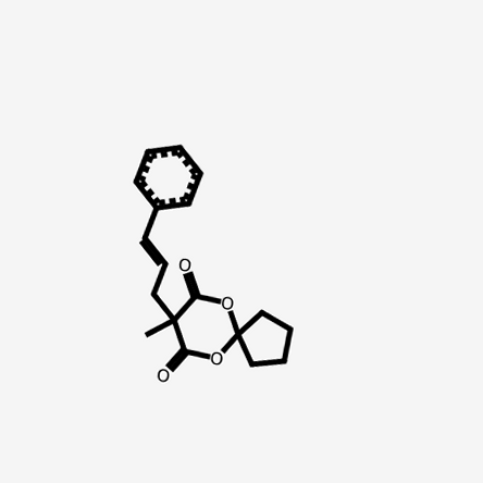 CC1(CC=Cc2ccccc2)C(=O)OC2(CCCC2)OC1=O